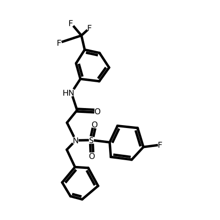 O=C(CN(Cc1ccccc1)S(=O)(=O)c1ccc(F)cc1)Nc1cccc(C(F)(F)F)c1